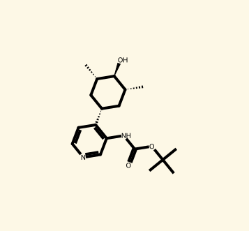 C[C@@H]1C[C@H](c2ccncc2NC(=O)OC(C)(C)C)C[C@H](C)[C@H]1O